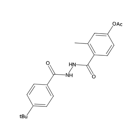 CC(=O)Oc1ccc(C(=O)NNC(=O)c2ccc(C(C)(C)C)cc2)c(C)c1